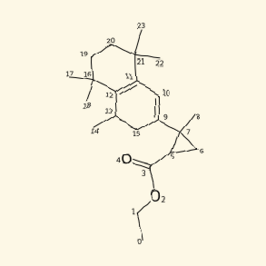 CCOC(=O)C1CC1(C)C1=CC2=C(C(C)C1)C(C)(C)CCC2(C)C